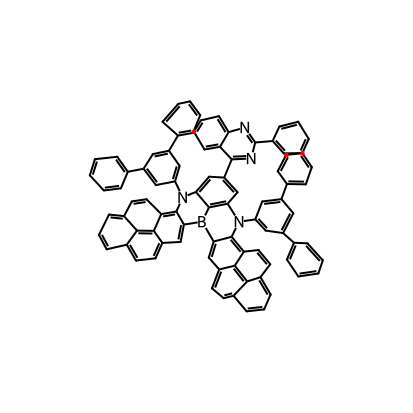 c1ccc(-c2cc(-c3ccccc3)cc(N3c4cc(-c5nc(-c6ccccc6)nc6ccccc56)cc5c4B(c4cc6ccc7cccc8ccc(c43)c6c78)c3cc4ccc6cccc7ccc(c3N5c3cc(-c5ccccc5)cc(-c5ccccc5)c3)c4c67)c2)cc1